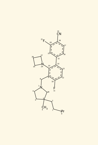 CC(C)CCC1(C)CCN(Cc2c(F)ccc(-c3ccc(C#N)c(F)c3)c2N2CCC2)C1